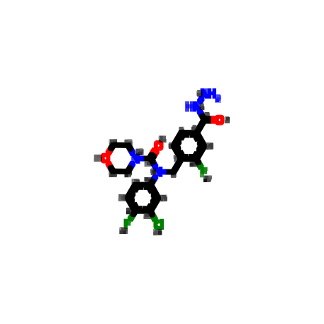 NNC(=O)c1ccc(CN(C(=O)N2CCOCC2)c2ccc(F)c(Cl)c2)c(F)c1